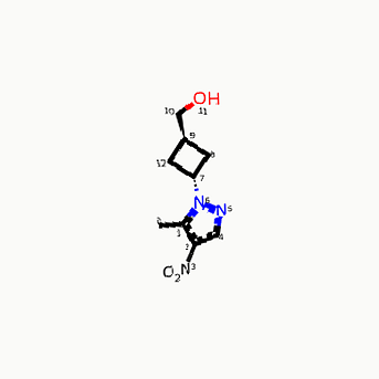 Cc1c([N+](=O)[O-])cnn1[C@H]1C[C@H](CO)C1